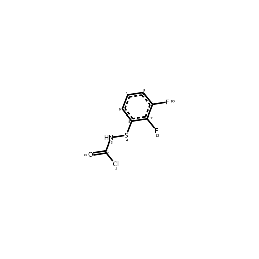 O=C(Cl)NSc1cccc(F)c1F